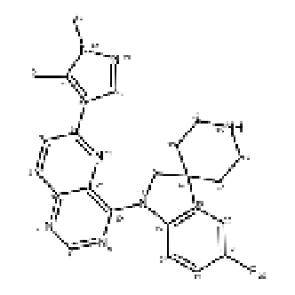 Cc1c(-c2ccc3ncnc(N4CC5(CCNCC5)c5cc(F)ccc54)c3n2)cnn1C